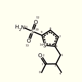 CC(=O)C(C)Cc1ccc(S(N)(=O)=O)s1